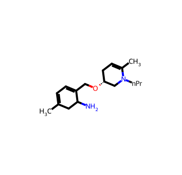 CCCN1C[C@H](OCC2=CC=C(C)CC2N)CC=C1C